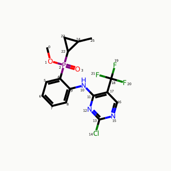 COP(=O)(c1ccccc1Nc1nc(Cl)ncc1C(F)(F)F)C1CC1C